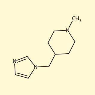 CN1CCC(Cn2ccnc2)CC1